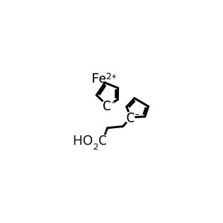 O=C(O)CC[c-]1cccc1.[Fe+2].c1cc[cH-]c1